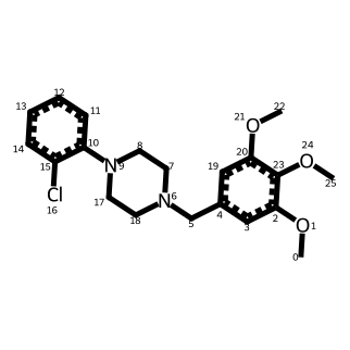 COc1cc(CN2CCN(c3ccccc3Cl)CC2)cc(OC)c1OC